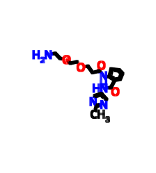 Cc1ncc(NC(=O)c2ccccc2NC(=O)CCOCCOCCN)cn1